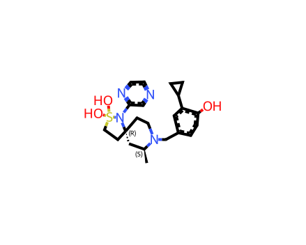 C[C@H]1C[C@]2(CCN1Cc1ccc(O)c(C3CC3)c1)CCS(O)(O)N2c1cnccn1